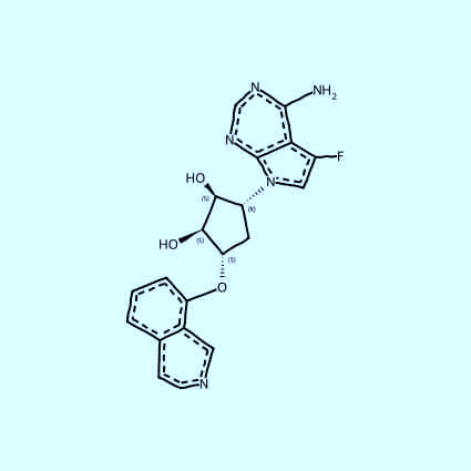 Nc1ncnc2c1c(F)cn2[C@@H]1C[C@H](Oc2cccc3ccncc23)[C@@H](O)[C@H]1O